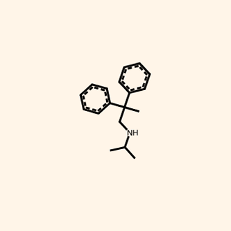 CC(C)NCC(C)(c1ccccc1)c1ccccc1